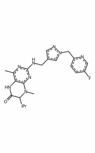 Cc1nc(NCc2cnn(Cc3ccc(F)cn3)c2)nc2c1NC(=O)C(C(C)C)N2C